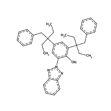 CCC(CC)(Cc1ccccc1)c1cc(-n2nc3ccccc3n2)c(O)c(C(CC)(CC)Cc2ccccc2)c1